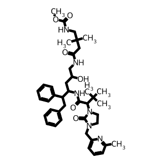 COC(=O)NCC(C)(C)CC(=O)NCC(O)CC(NC(=O)C(N1CCN(Cc2cccc(C)n2)C1=O)C(C)(C)C)C(Cc1ccccc1)c1ccccc1